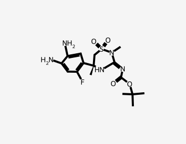 CN1/C(=N/C(=O)OC(C)(C)C)N[C@](C)(c2cc(N)c(N)cc2F)CS1(=O)=O